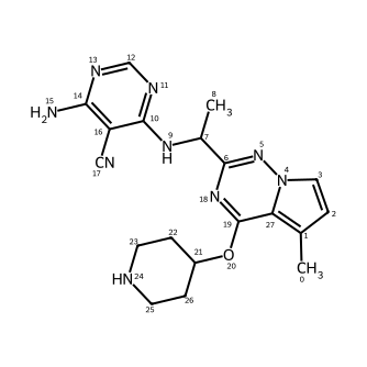 Cc1ccn2nc(C(C)Nc3ncnc(N)c3C#N)nc(OC3CCNCC3)c12